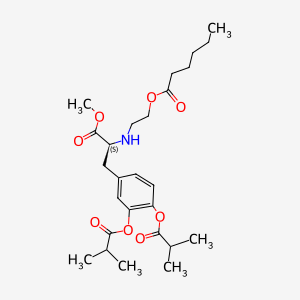 CCCCCC(=O)OCCN[C@@H](Cc1ccc(OC(=O)C(C)C)c(OC(=O)C(C)C)c1)C(=O)OC